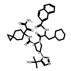 CC(C)(O)c1cnnn1[C@H]1C[C@@H](C(=O)NC2(C(=O)C(N)=O)CCC3(CC3)CC2)N(C(=O)C(CC2CCCCC2)NC(=O)c2ccc3ccccc3c2)C1